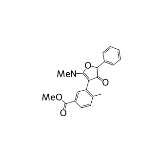 CNC1=C(c2cc(C(=O)OC)ccc2C)C(=O)C(c2ccccc2)O1